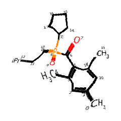 Cc1cc(C)c(C(=O)P(=O)(CCC(C)C)C2CCCC2)c(C)c1